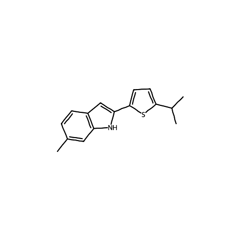 Cc1ccc2cc(-c3ccc(C(C)C)s3)[nH]c2c1